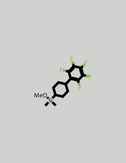 CO[Si](C)(C)C1CCC(c2c(F)c(F)c(F)c(F)c2F)CC1